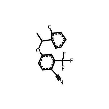 CC(Oc1ccc(C#N)c(C(F)(F)F)c1)c1ccccc1Cl